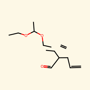 C=C.C=CCC(C=O)CC.CCOC(C)OCC